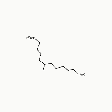 [CH2]C(CCCCCCCCCCCCCC)CCCCCCCCCCCCCCC